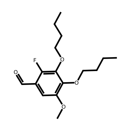 CCCCOc1c(OC)cc(C=O)c(F)c1OCCCC